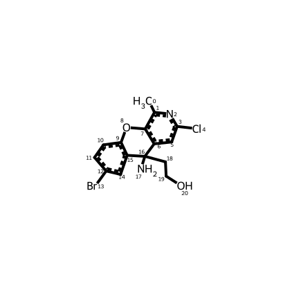 Cc1nc(Cl)cc2c1Oc1ccc(Br)cc1C2(N)CCO